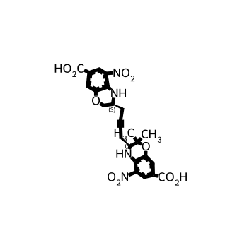 CC1(C)Oc2cc(C(=O)O)cc([N+](=O)[O-])c2N[C@H]1CC#CC[C@H]1COc2cc(C(=O)O)cc([N+](=O)[O-])c2N1